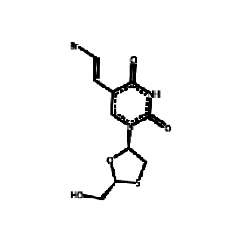 O=c1[nH]c(=O)n([C@H]2CS[C@@H](CO)O2)cc1/C=C/Br